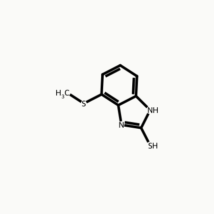 CSc1cccc2[nH]c(S)nc12